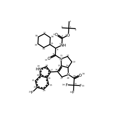 CC(C)(C)OC(=O)NC(C(=O)N1CCC2C1=C(c1c[nH]c3cc(F)ccc13)CN2C(=O)C(F)(F)F)C1CCCCC1